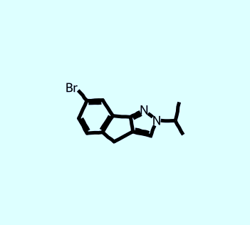 CC(C)n1cc2c(n1)-c1cc(Br)ccc1C2